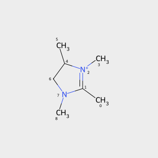 CC1=[N+](C)C(C)CN1C